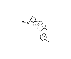 COc1cncc(C2=CC=C3[C@@H]4CCC5=CC(=O)NCC[C@]5(C)[C@H]4CC[C@]23C)c1